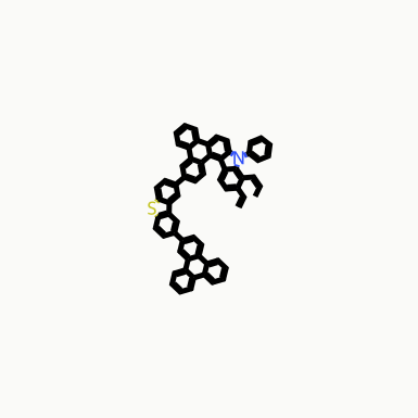 C=Cc1ccc2c3c4c(ccc3n(-c3ccccc3)c2c1/C=C\C)c1ccccc1c1cc(-c2ccc3sc5ccc(-c6ccc7c8ccccc8c8ccccc8c7c6)cc5c3c2)ccc14